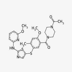 COc1cccc(Nc2ncc(Sc3cc(C(=O)N4CCN(C(C)=O)CC4)c(OC)cc3C)s2)n1